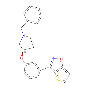 c1ccc(CN2CC[C@@H](Oc3cccc(-c4noc5ccsc45)c3)C2)cc1